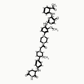 COc1cc(N2CCN(C(=O)CN3CCC(c4ccc(NC5CCC(=O)NC5=O)cc4)[C@@H](C)C3)CC2)ccc1Nc1ncc(Cl)c(Nc2ccccc2C(C)=O)n1